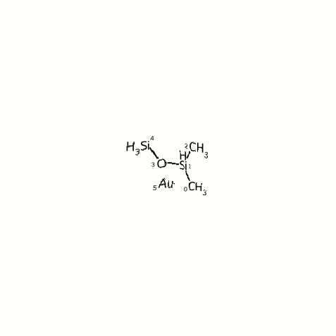 C[SiH](C)O[SiH3].[Au]